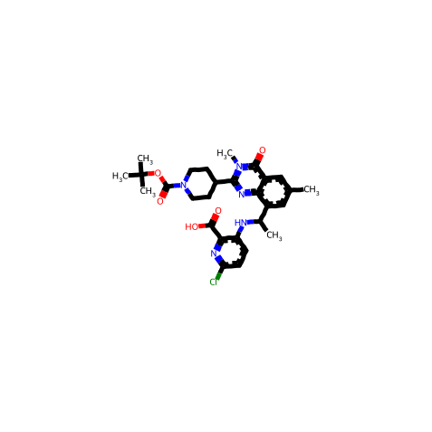 Cc1cc(C(C)Nc2ccc(Cl)nc2C(=O)O)c2nc(C3CCN(C(=O)OC(C)(C)C)CC3)n(C)c(=O)c2c1